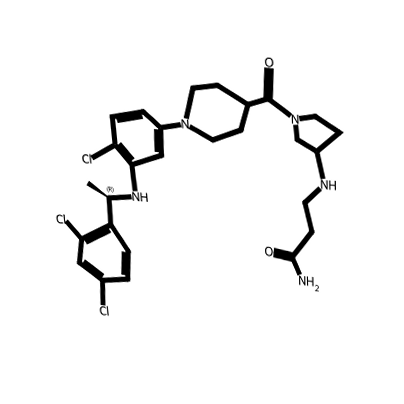 C[C@@H](Nc1cc(N2CCC(C(=O)N3CCC(NCCC(N)=O)C3)CC2)ccc1Cl)c1ccc(Cl)cc1Cl